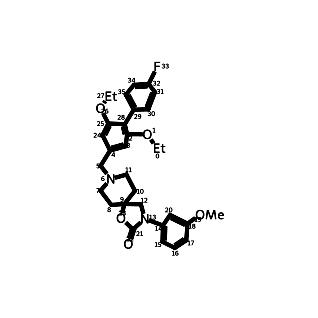 CCOc1cc(CN2CCC3(CC2)CN(c2cccc(OC)c2)C(=O)O3)cc(OCC)c1-c1ccc(F)cc1